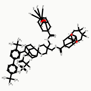 CC(C)(C)c1ccc(-c2ccc(C(C)(C)C)c(C3C4CC5CC3(OC(=O)C(F)(F)S(=O)(=O)O)CC(C4)C53SCC(COC(=O)C45CC6CC(C4)C4(OCC(F)(F)C(F)(F)CO4)C(C6)C5)(COC(=O)C45CC6CC(C4)C4(OCC(F)(F)C(F)(F)CO4)C(C6)C5)CS3)c2)cc1